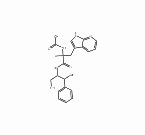 CC(Cc1c[nH]c2ncccc12)(NC(=O)O)C(=O)NC(CO)C(O)c1ccccc1